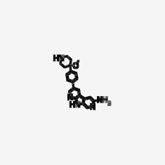 COC1(c2ccc(-c3cnc4[nH]c5cnc(N)cc5c4c3)cc2)CCNCC1